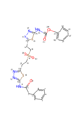 O=C(Cc1ccccc1)Nc1nnc(CCS(=O)(=O)CCc2nnc(NC(=O)Oc3ccccc3)s2)s1